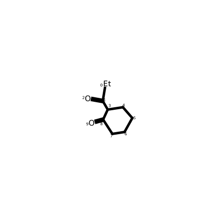 CCC(=O)C1CCCCC1=O